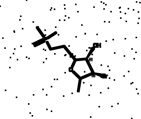 C=P(C)(C)CCC1OC(C)[C@H](Br)[C@@H]1O